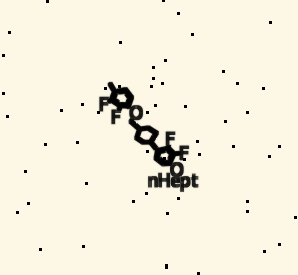 CCCCCCCOc1ccc(C2CCC(COc3ccc(C)c(F)c3F)CC2)c(F)c1F